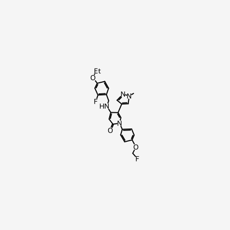 CCOc1ccc(CNc2cc(=O)n(-c3ccc(OCF)cc3)cc2-c2cnn(C)c2)c(F)c1